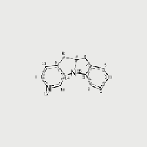 c1ccc2c(c1)CC1Cc3ccncc3N21